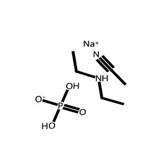 CC#N.CCNCC.O=P([O-])(O)O.[Na+]